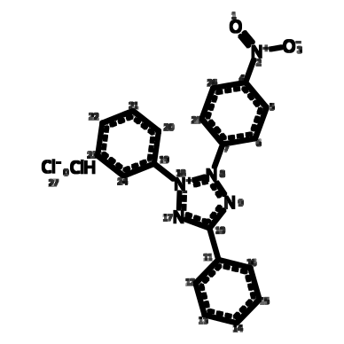 Cl.O=[N+]([O-])c1ccc(-n2nc(-c3ccccc3)n[n+]2-c2ccccc2)cc1.[Cl-]